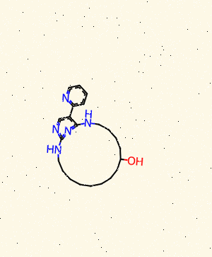 OC1CCCCCCCCNc2ncc(-c3ccccn3)c(n2)NCCCC1